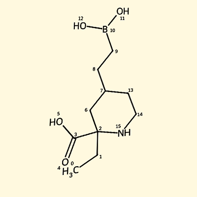 CCC1(C(=O)O)CC(CCB(O)O)CCN1